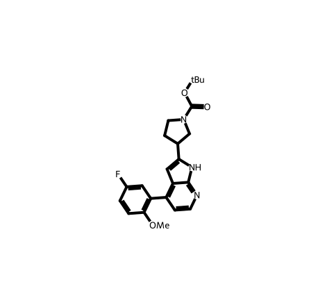 COc1ccc(F)cc1-c1ccnc2[nH]c(C3CCN(C(=O)OC(C)(C)C)C3)cc12